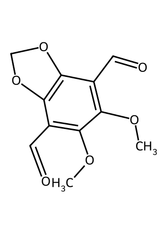 COc1c(C=O)c2c(c(C=O)c1OC)OCO2